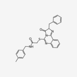 Cc1ccc(CNC(=O)CSC2=Nc3ccccc3C3=NC(Cc4ccccc4)C(=O)N23)cc1